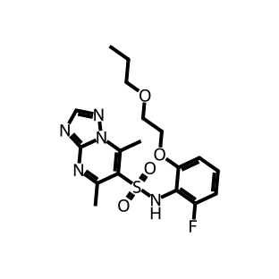 CCCOCCOc1cccc(F)c1NS(=O)(=O)c1c(C)nc2ncnn2c1C